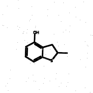 CC1Cc2c(O)cccc2S1